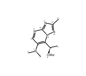 CO[C@H](C)c1c(N(C)C)cnc2nc(C)nn12